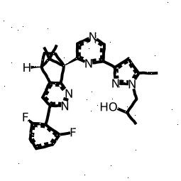 Cc1cc(-c2cncc([C@@]34CC[C@@H](c5cc(-c6c(F)cccc6F)nnc53)C4(C)C)n2)nn1CC(C)O